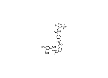 C[C@H](Cc1cccc(CC(=O)NCc2ccc(C(=O)NCc3cc(C(F)(F)F)ccc3F)cc2)c1)NC[C@@H](O)c1ccc(O)c(CO)c1